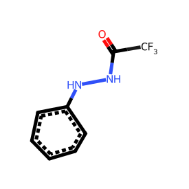 O=C(NNc1ccccc1)C(F)(F)F